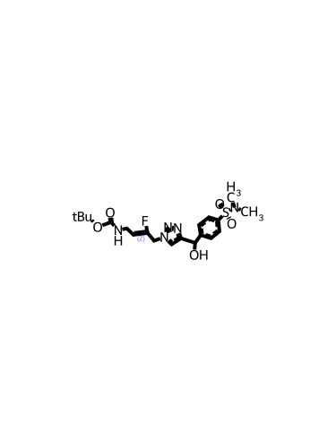 CN(C)S(=O)(=O)c1ccc(C(O)c2cn(C/C(F)=C/CNC(=O)OC(C)(C)C)nn2)cc1